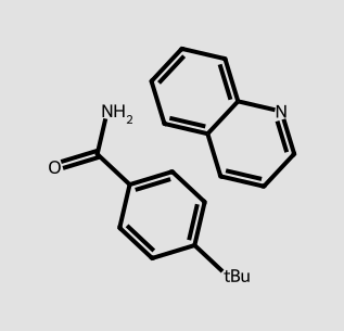 CC(C)(C)c1ccc(C(N)=O)cc1.c1ccc2ncccc2c1